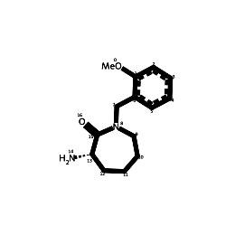 COc1ccccc1CN1CCCC[C@H](N)C1=O